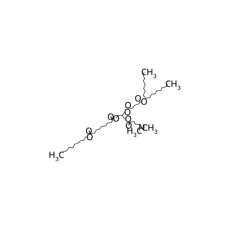 CCCCCCCCCCOC(=O)CCCCCCCC(=O)OCC(COC(=O)CCCC(=O)OC(CCCCCCCC)CCCCCCCC)COC(=O)CCCN(C)C